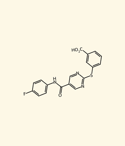 O=C(O)c1cccc(Sc2ncc(C(=O)Nc3ccc(F)cc3)cn2)c1